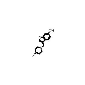 Oc1ccc2c(CN3CCC(F)CC3)coc2c1